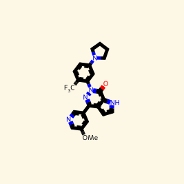 COc1cncc(-c2nn(-c3cc(N4CCCC4)ccc3C(F)(F)F)c(=O)c3[nH]ccc23)c1